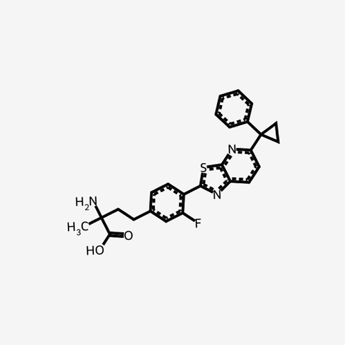 CC(N)(CCc1ccc(-c2nc3ccc(C4(c5ccccc5)CC4)nc3s2)c(F)c1)C(=O)O